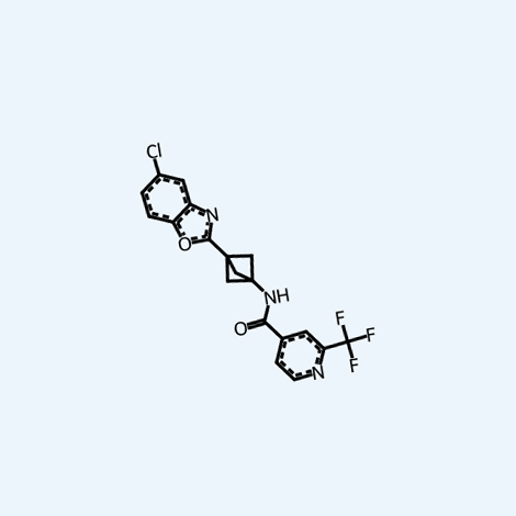 O=C(NC12CC(c3nc4cc(Cl)ccc4o3)(C1)C2)c1ccnc(C(F)(F)F)c1